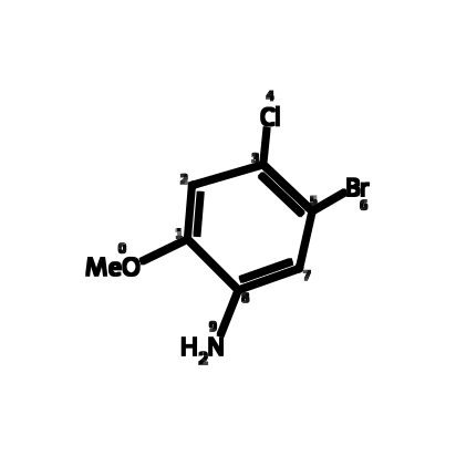 COc1cc(Cl)c(Br)cc1N